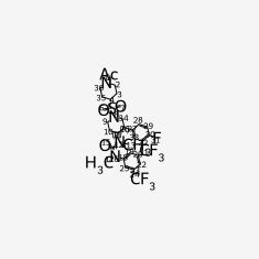 CC(=O)N1CCC(S(=O)(=O)N2CC[C@@H](N(C)C(=O)N(C)c3cc(C(F)(F)F)cc(C(F)(F)F)c3)[C@H](c3ccc(F)cc3)C2)CC1